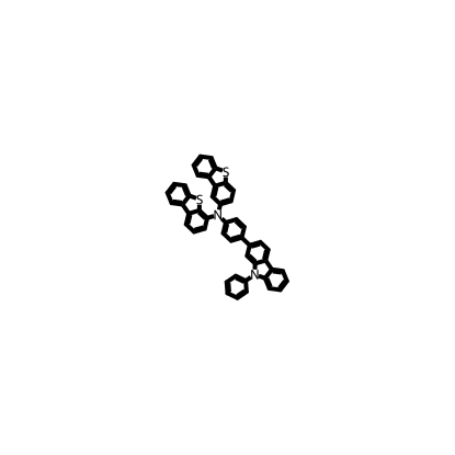 c1ccc(-n2c3ccccc3c3ccc(-c4ccc(N(c5ccc6sc7ccccc7c6c5)c5cccc6c5sc5ccccc56)cc4)cc32)cc1